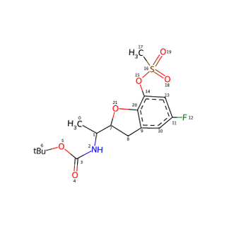 CC(NC(=O)OC(C)(C)C)C1Cc2cc(F)cc(OS(C)(=O)=O)c2O1